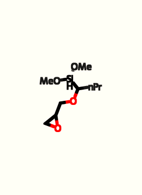 CCCC(OCC1CO1)[SiH](OC)OC